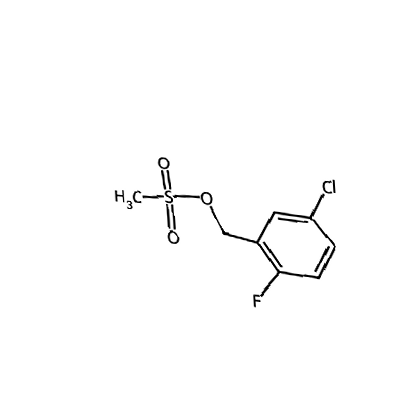 CS(=O)(=O)OCc1cc(Cl)ccc1F